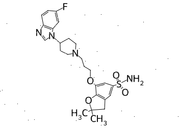 CC1(C)Cc2cc(S(N)(=O)=O)cc(OCCCN3CCC(n4cnc5ccc(F)cc54)CC3)c2O1